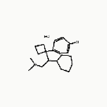 CN(C)CC(C1CCCCC1)C1(c2ccc(Cl)cc2)CCC1.Cl